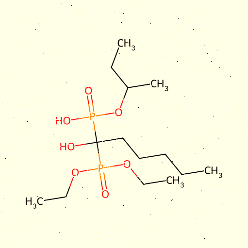 CCCCCC(O)(P(=O)(O)OC(C)CC)P(=O)(OCC)OCC